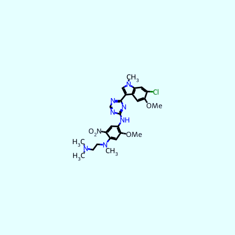 COc1cc2c(-c3ncnc(Nc4cc([N+](=O)[O-])c(N(C)CCN(C)C)cc4OC)n3)cn(C)c2cc1Cl